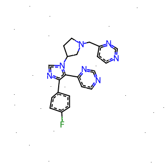 Fc1ccc(-c2ncn(C3CCN(Cc4ccncn4)C3)c2-c2ccncn2)cc1